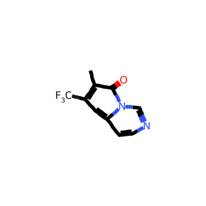 Cc1c(C(F)(F)F)cc2ccncn2c1=O